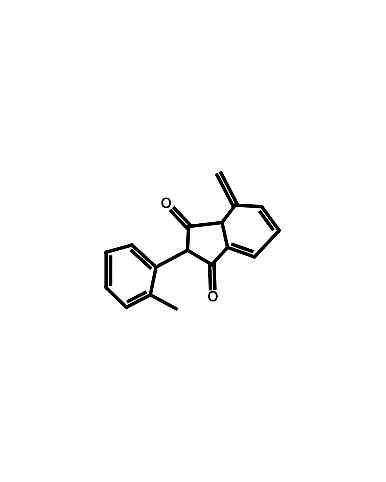 C=C1C=CC=C2C(=O)C(c3ccccc3C)C(=O)C12